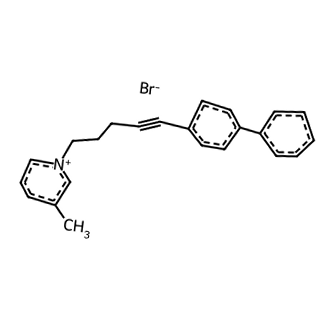 Cc1ccc[n+](CCCC#Cc2ccc(-c3ccccc3)cc2)c1.[Br-]